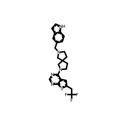 FC(F)(F)Cc1cc2c(N3CCC4(CCN(Cc5ccc6[nH]ccc6c5)C4)C3)ncnc2s1